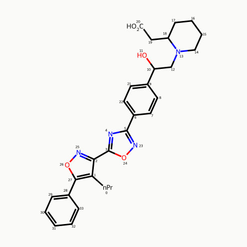 CCCc1c(-c2nc(-c3ccc(C(O)CN4CCCCC4CC(=O)O)cc3)no2)noc1-c1ccccc1